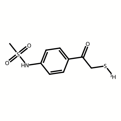 [3H]SCC(=O)c1ccc(NS(C)(=O)=O)cc1